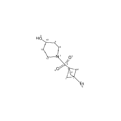 CCC12CC(S(=O)(=O)N3CCC(O)CC3)(C1)C2